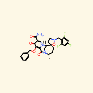 C[C@H]1CC[C@]2(CCN(Cc3c(F)cc(F)cc3F)O2)[C@H]2CN1C(=O)c1c(OCc3ccccc3)c(=O)c(C(N)=O)cn12